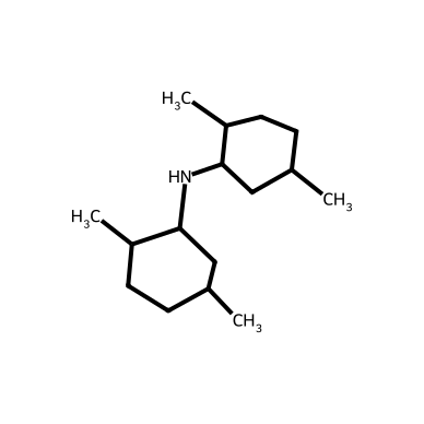 CC1CCC(C)C(NC2CC(C)CCC2C)C1